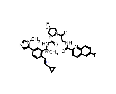 C[C@H](NC(=O)[C@@H]1C[C@@H](F)CN1C(=O)CNC(=O)c1ccc2cc(F)ccc2n1)c1cc(-c2cncn2C)ccc1/C=C/C1CC1